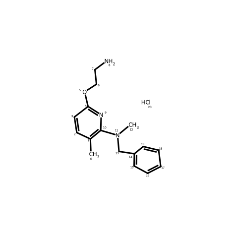 Cc1ccc(OCCN)nc1N(C)Cc1ccccc1.Cl